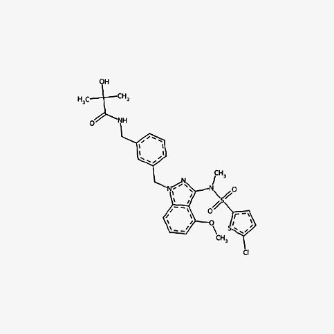 COc1cccc2c1c(N(C)S(=O)(=O)c1ccc(Cl)s1)nn2Cc1cccc(CNC(=O)C(C)(C)O)c1